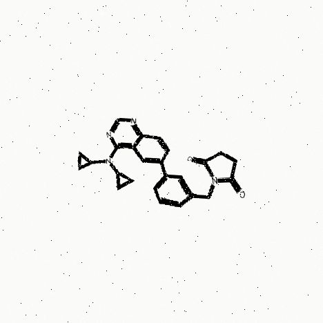 O=C1CCC(=O)N1Cc1cccc(-c2ccc3ncnc(N(C4CC4)C4CC4)c3c2)c1